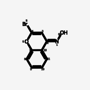 ON=c1cc(Br)oc2ccccc12